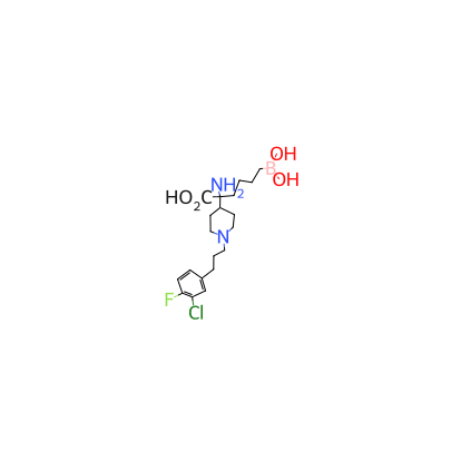 NC(CCCCB(O)O)(C(=O)O)C1CCN(CCCc2ccc(F)c(Cl)c2)CC1